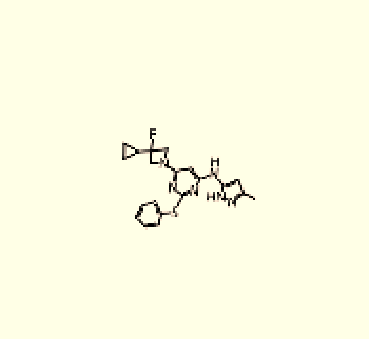 Cc1cc(Nc2cc(N3CC(F)(C4CC4)C3)nc(Sc3ccccc3)n2)[nH]n1